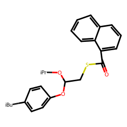 CCC(C)c1ccc(OC(CSC(=O)c2cccc3ccccc23)OC(C)C)cc1